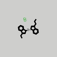 CCCC1=C[CH]([Zr+2][CH]2C=C(CC)c3ccccc32)c2ccccc21.[Cl-].[Cl-]